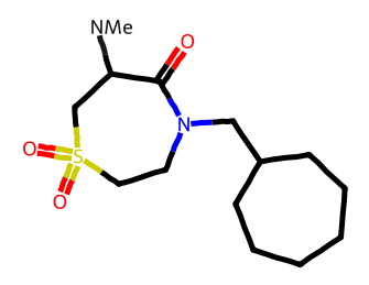 CNC1CS(=O)(=O)CCN(CC2CCCCCC2)C1=O